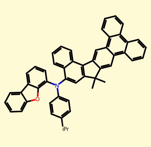 CC(C)c1ccc(N(c2cc3c(c4ccccc24)-c2cc4c5ccccc5c5ccccc5c4cc2C3(C)C)c2cccc3c2oc2ccccc23)cc1